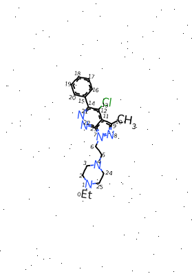 CCN1CCN(CCn2nc(C)c3c(Cl)c(-c4ccccc4)nnc32)CC1